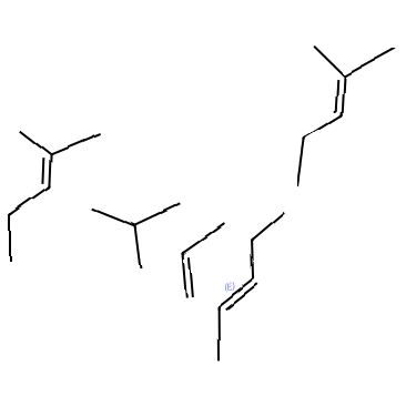 C/C=C/CC.C=CC.CC(C)C.CCC=C(C)C.CCC=C(C)C